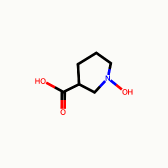 O=C(O)C1CCCN(O)C1